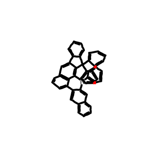 c1ccc(-c2cc3ccccc3cc2N(c2ccccc2)c2cccc3c2C(c2ccccc2)(c2ccccc2)c2ccccc2-3)cc1